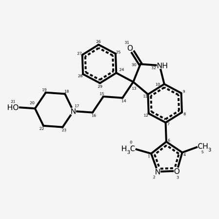 Cc1noc(C)c1-c1ccc2c(c1)C(CCCN1CCC(O)CC1)(c1ccccc1)C(=O)N2